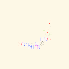 COc1ccc(COc2c(F)cc(C(=O)NCC34CCC(c5noc(-c6ccc(N7CCN(C(=O)OC(C)(C)C)CC7)nn6)n5)(CC3)CC4)c(F)c2F)cc1